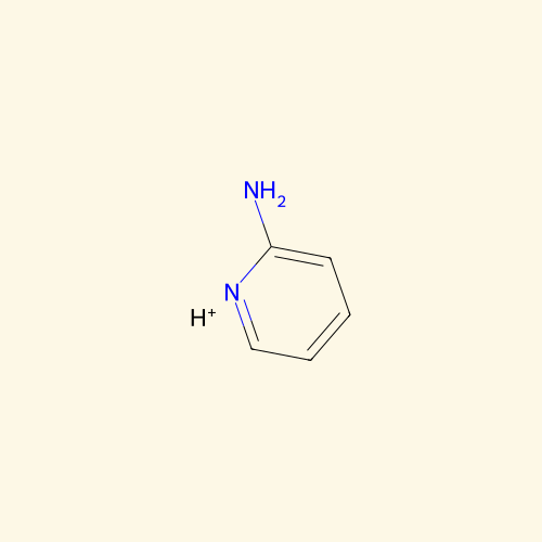 Nc1ccccn1.[H+]